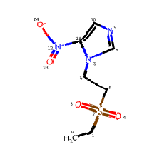 CCS(=O)(=O)CCn1cncc1[N+](=O)[O-]